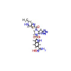 CC1Cc2nc(C(=O)N3CCN(S(=O)(=O)c4cc5ccc(/C(N)=N\O)cc5[nH]4)CC3Cc3nnn[nH]3)sc2CN1